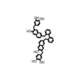 Oc1ccc(Cc2cc3cc(Cc4ccccc4-c4ccccc4Cc4ccc5cc(O)c(Cc6ccc(O)c(O)c6)cc5c4)ccc3cc2O)cc1O